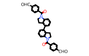 O=Cc1ccc(C(=O)N2CCc3c(-c4cccc5c4CCN5C(=O)c4ccc(C=O)cc4)cccc32)cc1